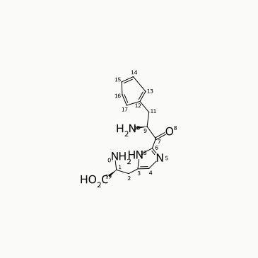 N[C@@H](Cc1cnc(C(=O)[C@@H](N)Cc2ccccc2)[nH]1)C(=O)O